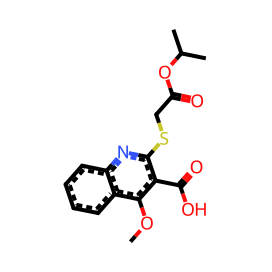 COc1c(C(=O)O)c(SCC(=O)OC(C)C)nc2ccccc12